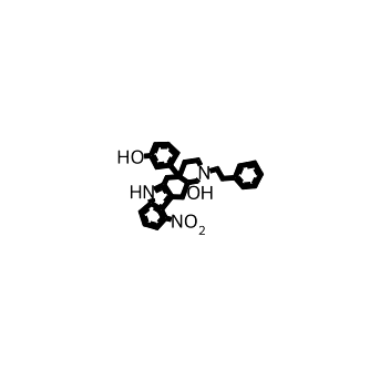 O=[N+]([O-])c1cccc2[nH]c3c(c12)CC1(O)CN(CCc2ccccc2)CCC1(c1cccc(O)c1)C3